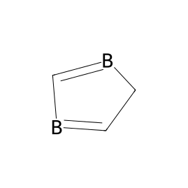 B1=CB=CC1